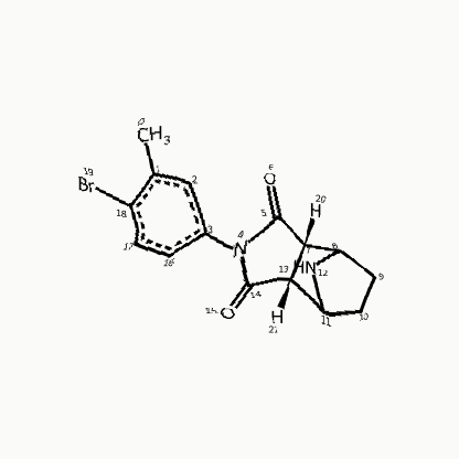 Cc1cc(N2C(=O)[C@@H]3C4CCC(N4)[C@@H]3C2=O)ccc1Br